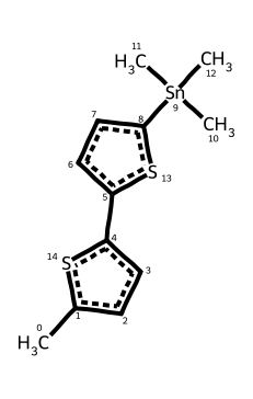 Cc1ccc(-c2cc[c]([Sn]([CH3])([CH3])[CH3])s2)s1